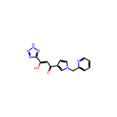 O=C(C=C(O)c1nn[nH]n1)c1ccn(Cc2ccccn2)c1